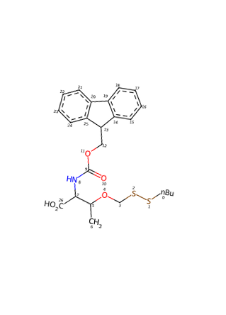 CCCCSSCOC(C)C(NC(=O)OCC1c2ccccc2-c2ccccc21)C(=O)O